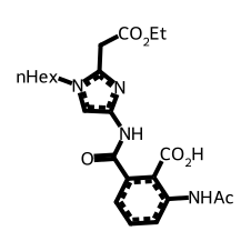 CCCCCCn1cc(NC(=O)c2cccc(NC(C)=O)c2C(=O)O)nc1CC(=O)OCC